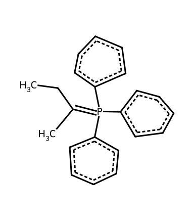 CCC(C)=P(c1ccccc1)(c1ccccc1)c1ccccc1